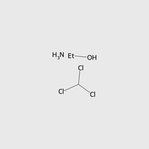 CCO.ClC(Cl)Cl.N